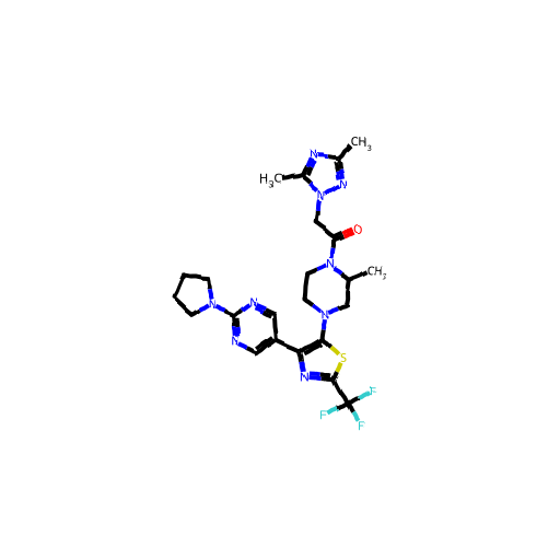 Cc1nc(C)n(CC(=O)N2CCN(c3sc(C(F)(F)F)nc3-c3cnc(N4CCCC4)nc3)CC2C)n1